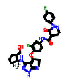 C[C@]1(Nc2n[nH]c3nccc(Oc4ccc(NC(=O)c5ccnn(-c6ccc(F)cc6)c5=O)cc4F)c23)CCCC1CO